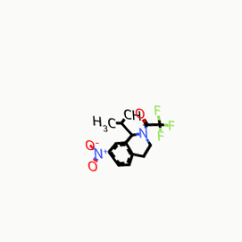 CC(C)C1c2cc([N+](=O)[O-])ccc2CCN1C(=O)C(F)(F)F